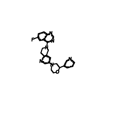 Fc1ccc2ncnc(N3CCc4ncc(N5CCOC(c6cccnc6)C5)cc4C3)c2c1